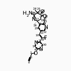 C#CCOc1cnc(/C(F)=C/c2cnc(F)c([C@]3(C)CS(=O)(=O)C(C)(C)C(N)=N3)c2)cn1